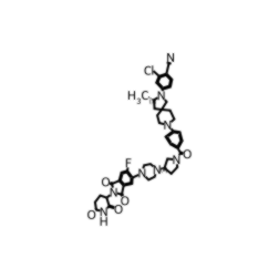 C[C@H]1CC2(CCN(c3ccc(C(=O)N4CC[C@@H](N5CCN(c6cc7c(cc6F)C(=O)N(C6CCC(=O)NC6=O)C7=O)CC5)C4)cc3)CC2)CN1c1ccc(C#N)c(Cl)c1